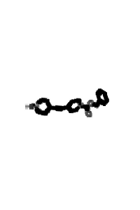 O=C(OCc1ccccc1)N1CCC(C#CC2CCNCC2)CC1